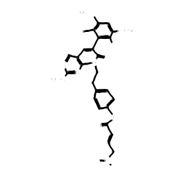 CNc1ncc2cc(-c3c(Cl)c(OC)cc(OC)c3Cl)c(=O)n(CCc3ccc(NC(=O)C=CCN(C)C)cc3)c2n1